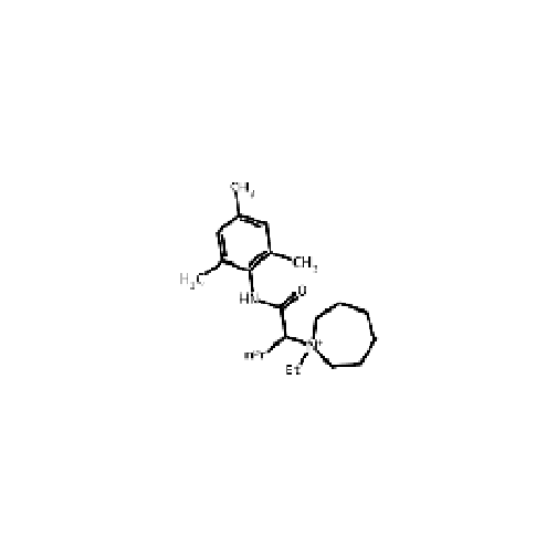 CCCC(C(=O)Nc1c(C)cc(C)cc1C)[N+]1(CC)CCCCCC1